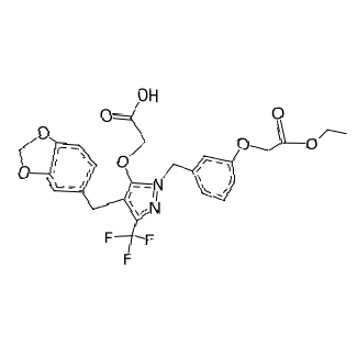 CCOC(=O)COc1cccc(Cn2nc(C(F)(F)F)c(Cc3ccc4c(c3)OCO4)c2OCC(=O)O)c1